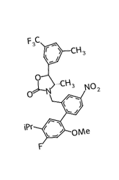 COc1cc(F)c(C(C)C)cc1-c1ccc([N+](=O)[O-])cc1CN1C(=O)OC(c2cc(C)cc(C(F)(F)F)c2)[C@@H]1C